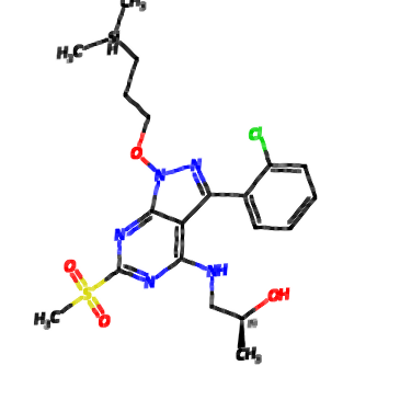 C[C@H](O)CNc1nc(S(C)(=O)=O)nc2c1c(-c1ccccc1Cl)nn2OCCC[SiH](C)C